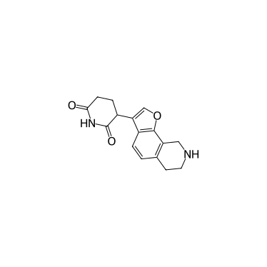 O=C1CCC(c2coc3c4c(ccc23)CCNC4)C(=O)N1